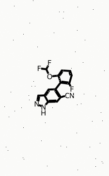 N#Cc1cc2[nH]ncc2cc1-c1c(F)cccc1OC(F)F